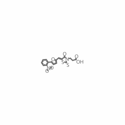 O=C(O)CCN1C(=O)C(=Cc2ccc(-c3ccccc3[N+](=O)[O-])o2)SC1=S